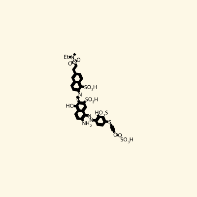 CCN(C)S(=O)(=O)CCc1ccc2c(S(=O)(=O)O)c(N=Nc3c(S(=O)(=O)O)cc4c(N=Nc5ccc(SC#COOS(=O)(=O)O)cc5S(=O)(=O)O)c(N)ccc4c3O)ccc2c1